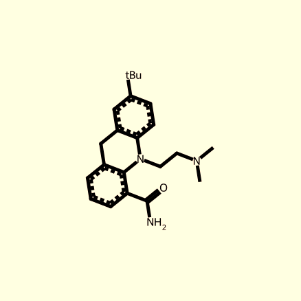 CN(C)CCN1c2ccc(C(C)(C)C)cc2Cc2cccc(C(N)=O)c21